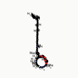 COC1C[C@@H]2CCC[C@@](O)(O2)C(=O)C(=O)N2CCCC[C@H]2C(=O)OC([C@H](N)CC2CCC(OCCCC/C(=C/NCCOCCOCCOCCOCCNC(=O)CCCCC(=O)NCCCCn3nc(-c4ccc5oc(N)nc5c4)c4c(N)ncnc43)N=N)[C@H](OC)C2)CC(=O)C(C)/C=C(\C)[C@@H](O)[C@@H](O)C(=O)C(C)CC(C)/C=C/C=C/C=C/1C